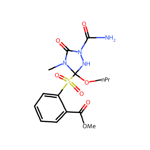 CCCOC1(S(=O)(=O)c2ccccc2C(=O)OC)NN(C(N)=O)C(=O)N1C